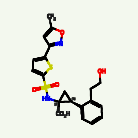 O=C(O)[C@@]1(NS(=O)(=O)c2ccc(-c3cc(C(F)(F)F)on3)s2)C[C@H]1c1ccccc1CCO